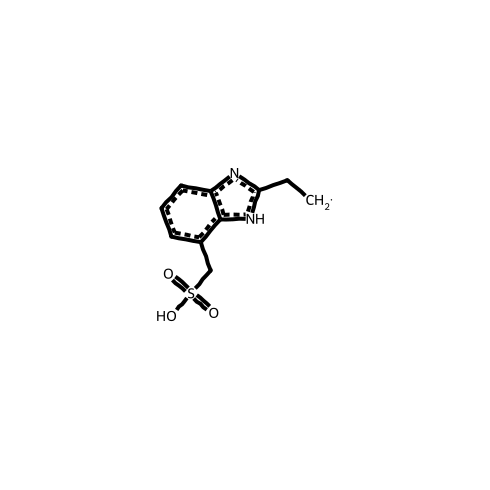 [CH2]Cc1nc2cccc(CS(=O)(=O)O)c2[nH]1